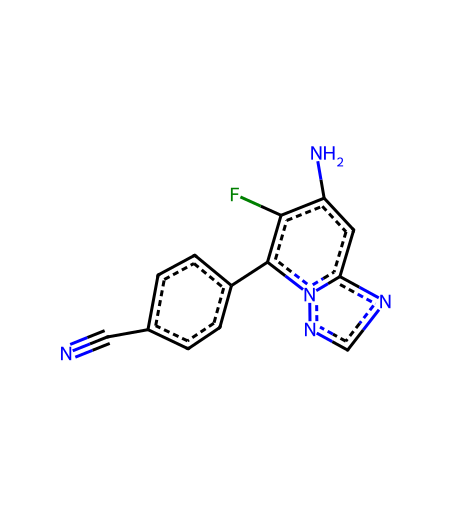 N#Cc1ccc(-c2c(F)c(N)cc3ncnn23)cc1